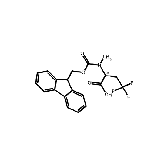 CN(C(=O)OCC1c2ccccc2-c2ccccc21)[C@@H](CC(F)(F)F)C(=O)O